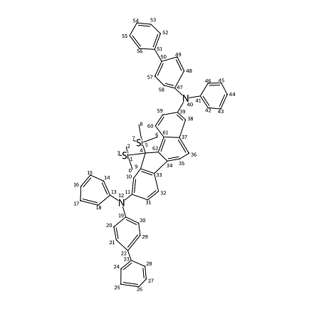 C[Si](C)(C)C1([Si](C)(C)C)c2cc(N(c3ccccc3)c3ccc(-c4ccccc4)cc3)ccc2-c2ccc3cc(N(c4ccccc4)c4ccc(-c5ccccc5)cc4)ccc3c21